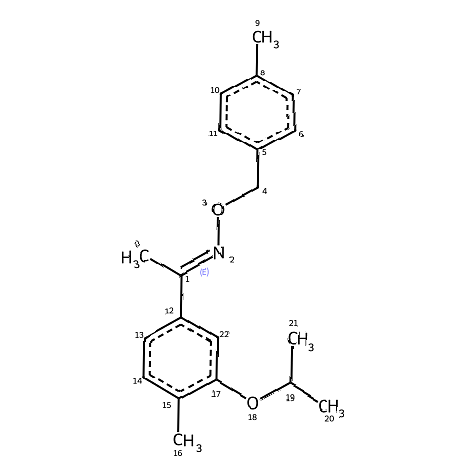 C/C(=N\OCc1ccc(C)cc1)c1ccc(C)c(OC(C)C)c1